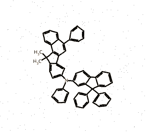 CC1(C)c2ccc(N(c3ccccc3)c3ccc4c(c3)C(c3ccccc3)(c3ccccc3)c3ccccc3-4)cc2-c2cc(-c3ccccc3)c3ccccc3c21